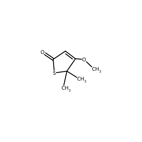 COC1=CC(=O)SC1(C)C